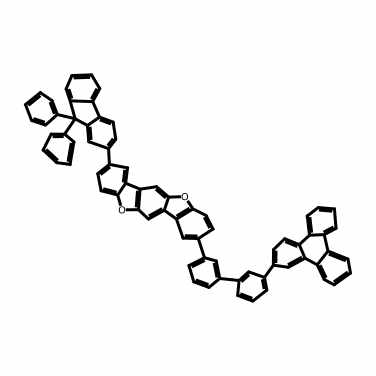 c1ccc(C2(c3ccccc3)c3ccccc3-c3ccc(-c4ccc5oc6cc7c(cc6c5c4)oc4ccc(-c5cccc(-c6cccc(-c8ccc9c%10ccccc%10c%10ccccc%10c9c8)c6)c5)cc47)cc32)cc1